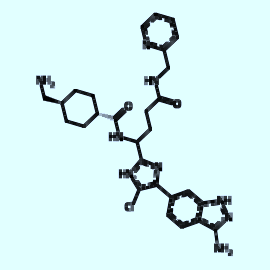 NC[C@H]1CC[C@H](C(=O)NC(CCC(=O)NCc2ccccn2)c2nc(-c3ccc4c(N)n[nH]c4c3)c(Cl)[nH]2)CC1